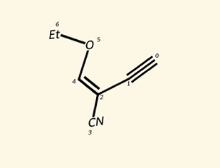 C#CC(C#N)=COCC